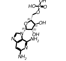 Nc1cc2ncn([C@@H]3O[C@H](COP(=O)(O)O)[C@@H](O)[C@@H]3O)c2c(N)n1